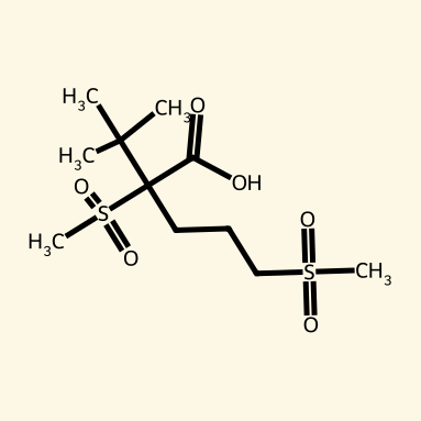 CC(C)(C)C(CCCS(C)(=O)=O)(C(=O)O)S(C)(=O)=O